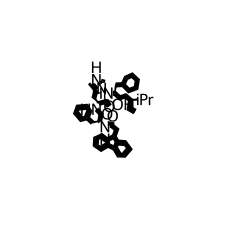 C=C[C@@H](C[C@H](O)[C@H](CC1CCCCC1)NC(=O)[C@H](Cc1c[nH]cn1)NC(=O)[C@H](Cc1ccccc1)NC(=O)CC1c2ccccc2-c2ccccc21)C(C)C